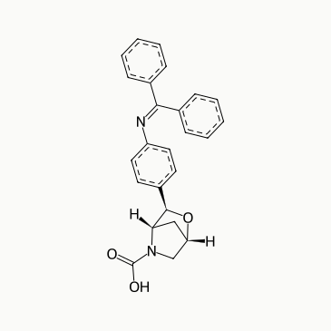 O=C(O)N1C[C@@H]2C[C@H]1[C@@H](c1ccc(N=C(c3ccccc3)c3ccccc3)cc1)O2